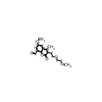 COCCOCCc1c(C)c2cc(OC)cc(C=O)c2oc1=O